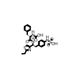 CCc1nc([C@H](Cc2ccc(NS(=O)(=O)O)cc2)NC(=O)[C@H](Cc2ccccc2)NC(=O)O)cs1